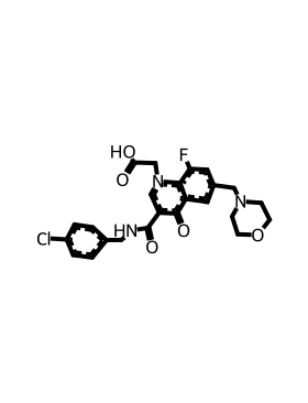 O=C(O)Cn1cc(C(=O)NCc2ccc(Cl)cc2)c(=O)c2cc(CN3CCOCC3)cc(F)c21